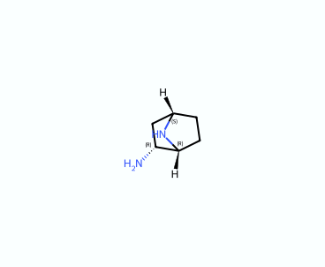 N[C@@H]1C[C@@H]2CC[C@H]1N2